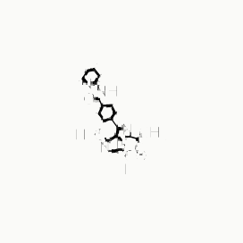 CC(=C=O)c1nc(-c2ccc(C(=O)Nc3ccccn3)cc2)c2c(C)ncc(C)n12